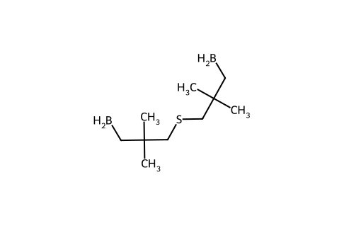 BCC(C)(C)CSCC(C)(C)CB